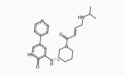 CC(C)NCC=CC(=O)N1CCC[C@H](Nc2cc(-c3ccncc3)c[nH]c2=O)C1